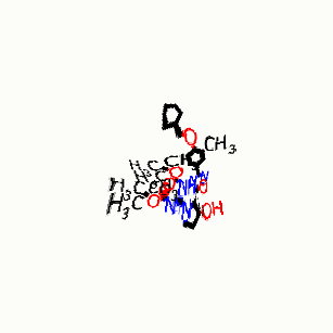 Cc1cc(-c2noc([C@@H]3[C@@H](O)CCN3/C(=N/C(=O)OC(C)(C)C)NC(=O)OC(C)(C)C)n2)ccc1OCC1CCCCC1